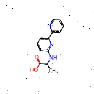 C[C@H](Nc1cccc(-c2ccccn2)n1)C(=O)O